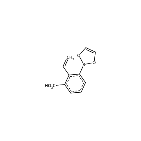 C=Cc1c(B2OC=CO2)cccc1C(=O)O